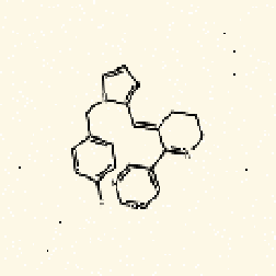 Fc1ccc(Cn2cccc2C=C2CCCN=C2c2cccnc2)cc1